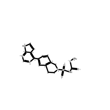 CC(C)(C)OC(=O)NS(=O)(=O)N1CCc2cc(-c3ncnc4[nH]ccc34)ccc2C1